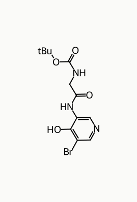 CC(C)(C)OC(=O)NCC(=O)Nc1cncc(Br)c1O